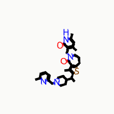 Cc1cccc(CN2CCC(C(C)c3sc4c(c3C)C(=O)N(Cc3c(C)cc(C)[nH]c3=O)CCC4)CC2)n1